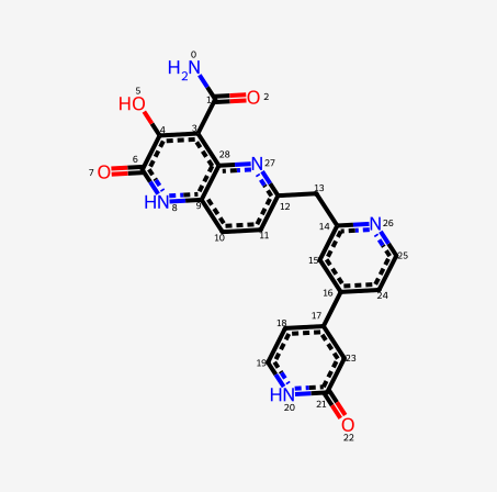 NC(=O)c1c(O)c(=O)[nH]c2ccc(Cc3cc(-c4cc[nH]c(=O)c4)ccn3)nc12